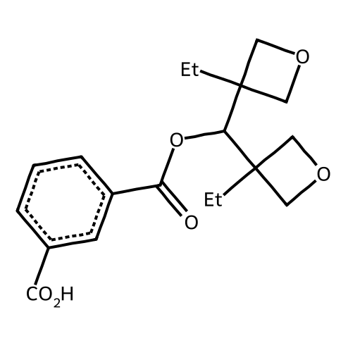 CCC1(C(OC(=O)c2cccc(C(=O)O)c2)C2(CC)COC2)COC1